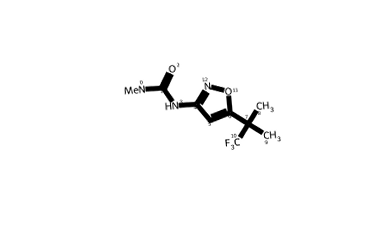 CNC(=O)Nc1cc(C(C)(C)C(F)(F)F)on1